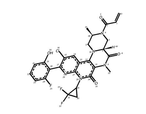 C=CC(=O)N1C[C@@H]2C(=O)N(C)c3c(c4cc(Cl)c(-c5c(O)cccc5F)nc4n(C4CC4(F)F)c3=O)N2C[C@H]1C